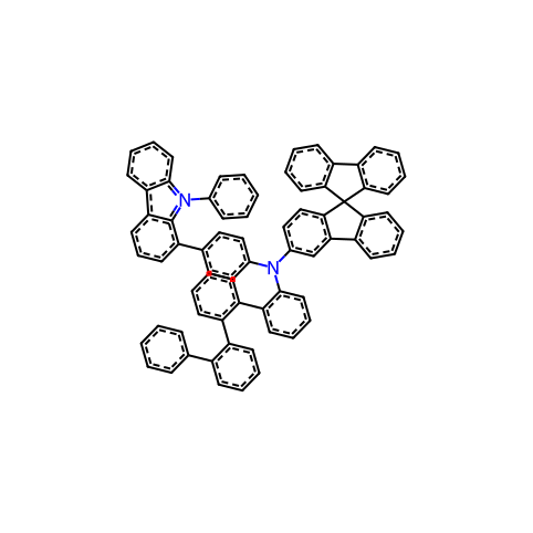 c1ccc(-c2ccccc2-c2ccccc2-c2ccccc2N(c2ccc(-c3cccc4c5ccccc5n(-c5ccccc5)c34)cc2)c2ccc3c(c2)-c2ccccc2C32c3ccccc3-c3ccccc32)cc1